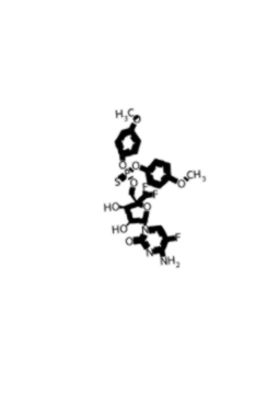 COc1ccc(OP(=S)(OC[C@@]2(C(F)F)O[C@@H](n3cc(F)c(N)nc3=O)[C@H](O)[C@H]2O)Oc2ccc(OC)cc2)cc1